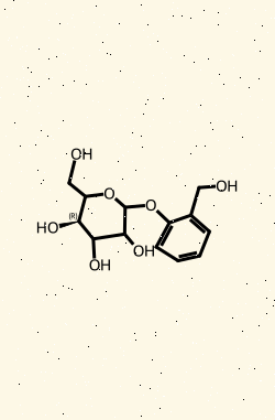 OCc1ccccc1OC1OC(CO)[C@H](O)C(O)C1O